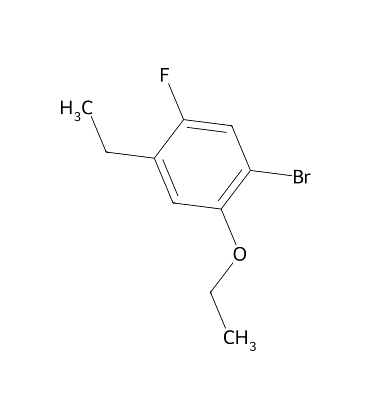 CCOc1cc(CC)c(F)cc1Br